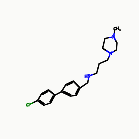 CN1CCN(CCCNCc2ccc(-c3ccc(Cl)cc3)cc2)CC1